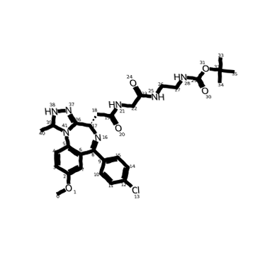 COc1ccc2c(c1)C(c1ccc(Cl)cc1)=N[C@@H](CC(=O)NCC(=O)NCCNC(=O)OC(C)(C)C)C1=NNC(C)N12